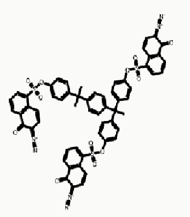 CC(C)(c1ccc(OS(=O)(=O)c2cccc3c2C=CC(=[N+]=[N-])C3=O)cc1)c1ccc(C(C)(c2ccc(OS(=O)(=O)c3cccc4c3C=CC(=[N+]=[N-])C4=O)cc2)c2ccc(OS(=O)(=O)c3cccc4c3C=CC(=[N+]=[N-])C4=O)cc2)cc1